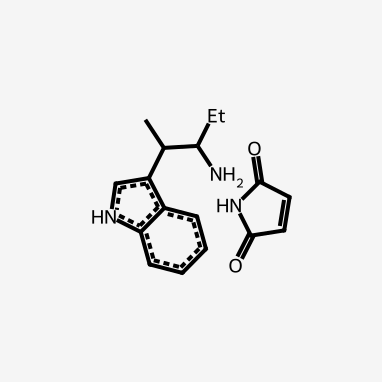 CCC(N)C(C)c1c[nH]c2ccccc12.O=C1C=CC(=O)N1